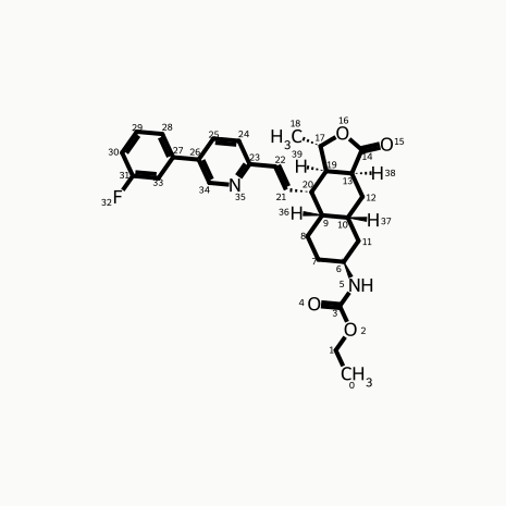 CCOC(=O)N[C@H]1CC[C@H]2[C@@H](C1)C[C@@H]1C(=O)O[C@@H](C)[C@@H]1[C@H]2/C=C/c1ccc(-c2cccc(F)c2)cn1